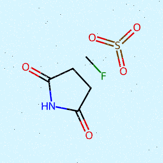 CF.O=C1CCC(=O)N1.O=S(=O)=O